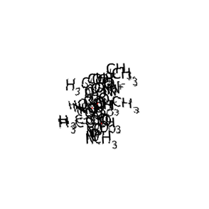 CCCCOC[C@H](O[C@H]1OC(CO)[C@@H](O[C@@H]2O[C@@H](C(=O)OCCCC)[C@@H](O[C@H]3O[C@@H](CO)[C@@H](OCCCC)[C@H](OCCCC)C3N=[N+]=[N-])C(OCCCC)[C@@H]2OCCCC)[C@H](O)C1N=[N+]=[N-])C(O[C@@H](O[C@@H]1C(COC(=O)c2ccccc2)O[C@H](OC)C(N=[N+]=[N-])[C@H]1OCCCC)[C@H](C)OC(=O)c1ccccc1)C(=O)OC